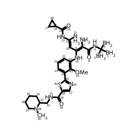 BC(B)(B)NC(=O)/C(N)=C(/C=C(\N)NC(=O)C1CC1)Nc1cccc(-c2ncc(C(=O)NCC3CCCCN3C)s2)c1OC